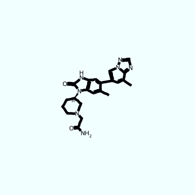 Cc1cc2c(cc1-c1cc(C)c3ncnn3c1)[nH]c(=O)n2[C@@H]1CCCN(CC(N)=O)C1